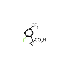 O=C(O)C1(c2cc(C(F)(F)F)ccc2F)CC1